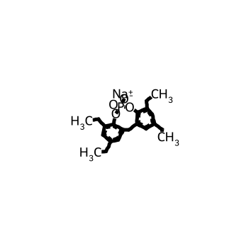 CCc1cc(CC)c2c(c1)Cc1cc(CC)cc(CC)c1OP(=O)([O-])O2.[Na+]